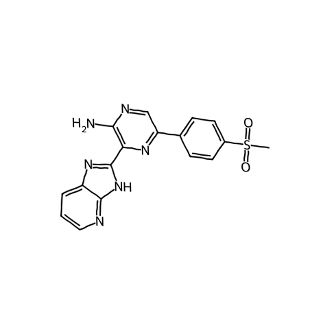 CS(=O)(=O)c1ccc(-c2cnc(N)c(-c3nc4cccnc4[nH]3)n2)cc1